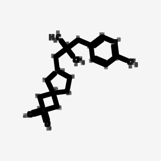 CC(C)(Cc1ccc(C(F)(F)F)nc1)CN1CCC2(C1)CS(=O)(=O)C2